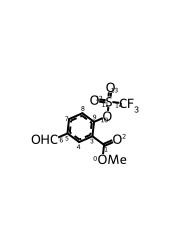 COC(=O)c1cc(C=O)ccc1OS(=O)(=O)C(F)(F)F